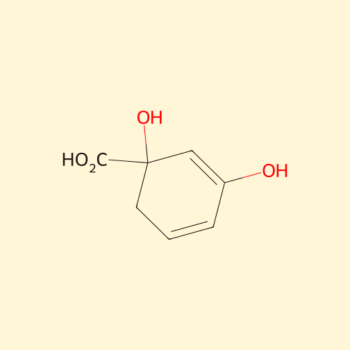 O=C(O)C1(O)C=C(O)C=CC1